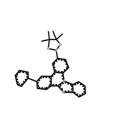 CC1(C)OB(c2ccc3c(c2)c2cc(-c4ccccc4)ccc2c2nc4ccccc4n32)OC1(C)C